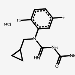 CNC(=O)NC(=N)N(CC1CC1)c1cc(F)ccc1Cl.Cl